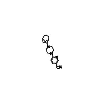 N#Cc1ccc(N2CCN(C3CC4CCC3C4)CC2)nc1